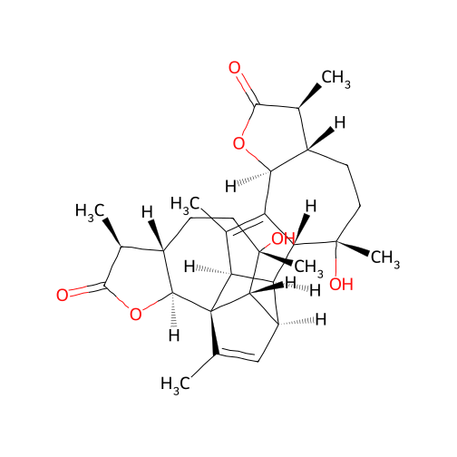 CC1=C[C@@H]2[C@H]3[C@H](C(C)=C4[C@H]5OC(=O)[C@@H](C)[C@@H]5CC[C@](C)(O)[C@@H]43)[C@@]13[C@@H]2[C@@](C)(O)CC[C@H]1[C@H](C)C(=O)O[C@@H]13